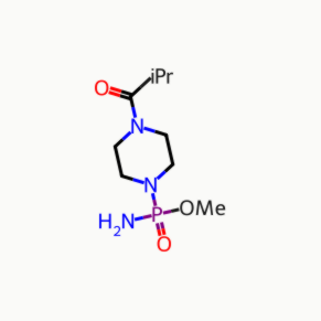 COP(N)(=O)N1CCN(C(=O)C(C)C)CC1